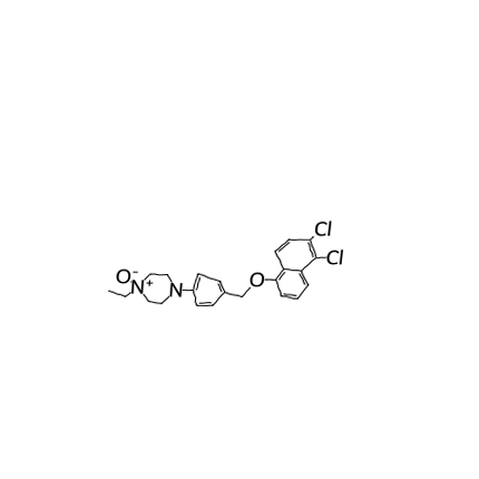 CC[N+]1([O-])CCN(c2ccc(COc3cccc4c(Cl)c(Cl)ccc34)cc2)CC1